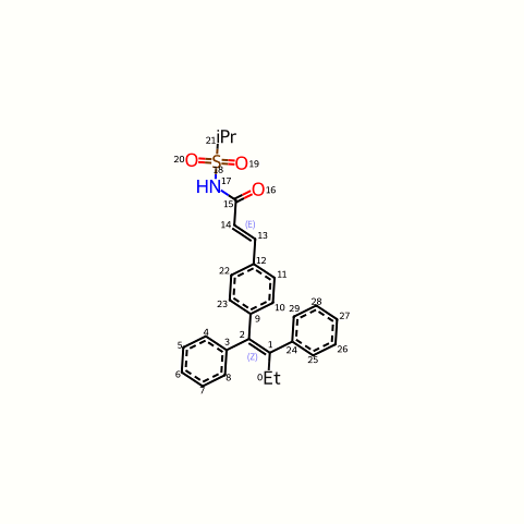 CC/C(=C(\c1ccccc1)c1ccc(/C=C/C(=O)NS(=O)(=O)C(C)C)cc1)c1ccccc1